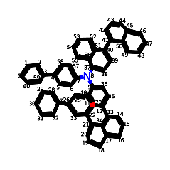 c1ccc(-c2ccc(N(c3ccc(-c4cccc5cccc(-c6cccc(-c7ccccc7)c6)c45)cc3)c3ccc(-c4cccc5ccccc45)c4ccccc34)cc2)cc1